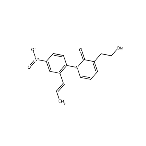 CC=Cc1cc([N+](=O)[O-])ccc1-n1cccc(CCO)c1=O